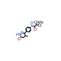 CCC(OC)C(=O)Nc1ccc(C2=NNC(=O)CC2C)cc1